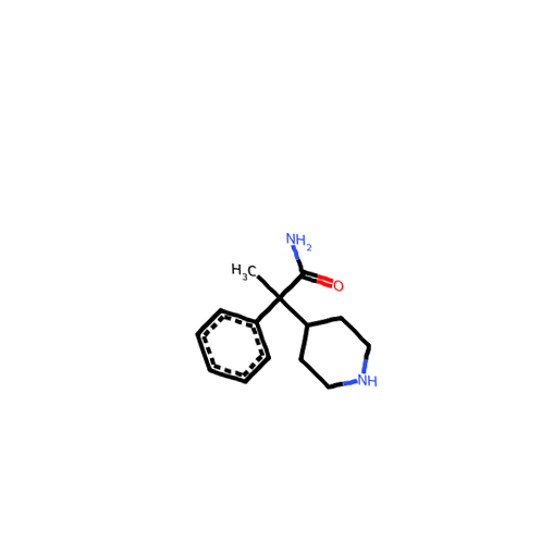 CC(C(N)=O)(c1ccccc1)C1CCNCC1